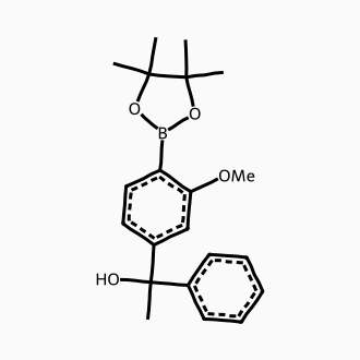 COc1cc(C(C)(O)c2ccccc2)ccc1B1OC(C)(C)C(C)(C)O1